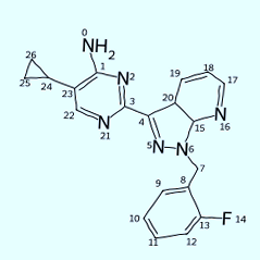 Nc1nc(C2=NN(Cc3ccccc3F)C3N=CC=CC23)ncc1C1CC1